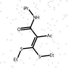 CCSC(SCC)=C(C(C)=O)C(=O)NC(C)C